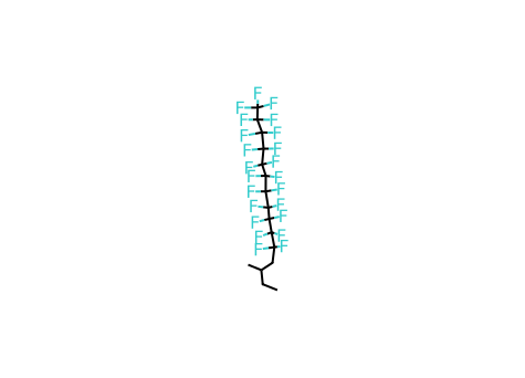 CCC(C)CC(F)(F)C(F)(F)C(F)(F)C(F)(F)C(F)(F)C(F)(F)C(F)(F)C(F)(F)C(F)(F)C(F)(F)C(F)(F)F